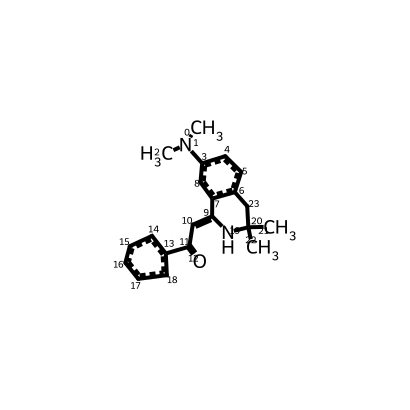 CN(C)c1ccc2c(c1)/C(=C/C(=O)c1ccccc1)NC(C)(C)C2